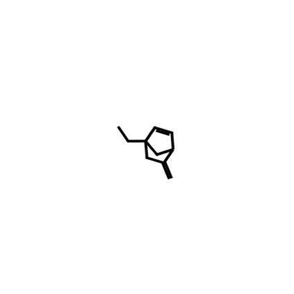 C=C1CC2(CC)C=CC1C2